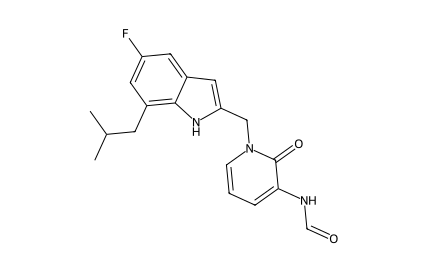 CC(C)Cc1cc(F)cc2cc(Cn3cccc(NC=O)c3=O)[nH]c12